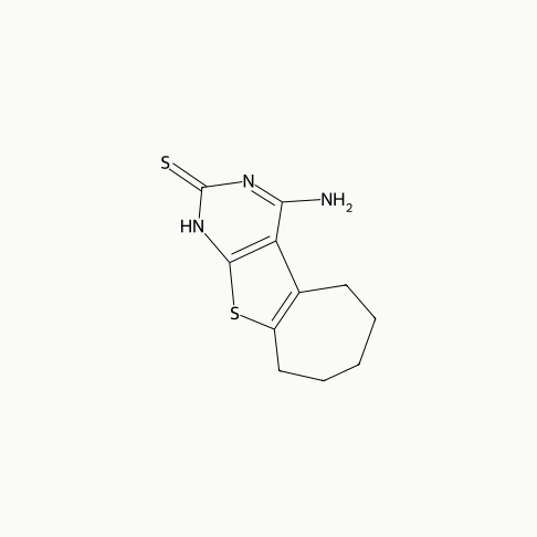 Nc1nc(=S)[nH]c2sc3c(c12)CCCCC3